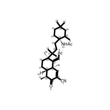 CC(=O)/C=C1/[C@@]2(C)C=C(C#N)C(=O)[C@@H](C)[C@@H]2CC[C@@]1(C)C(C)(C)CC[C@@]1(NC(C)=O)CCC(C)(C)CC1C